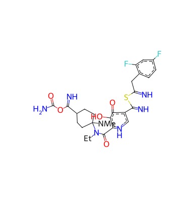 CCN(C(=O)c1[nH]cc(C(=N)SC(=N)Cc2ccc(F)cc2F)c(=O)c1O)C1(NC)CCC(C(=N)OC(N)=O)CC1